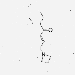 CCCC(CC)C(=O)/C=C/CN1CCC1